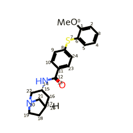 COc1ccccc1Sc1ccc(C(=O)N[C@@H]2C[C@H]3CCN(C3)C2)cc1